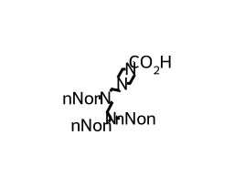 CCCCCCCCCN(CCCCCCCCC)CCN(CCCCCCCCC)CCN1CCN(C(=O)O)CC1